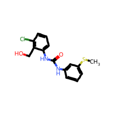 CSc1cccc(NC(=O)Nc2cccc(Cl)c2CO)c1